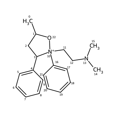 CC1CC(c2ccccc2)[N+](CCN(C)C)(c2ccccc2)O1